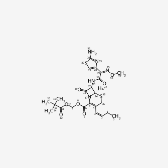 CC/C=C\C1=C(C(=O)OCOC(=O)C(C)(C)C)N2C(=O)C(NC(=O)/C(=N\OC)c3csc(N)n3)[C@H]2SC1